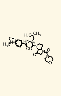 CC(C)C[C@H](NC(=O)c1ccc(N(C)C)cc1)C(=O)N1CCC2C1C(=O)CN2C(=O)N1CCOCC1